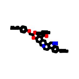 COC(=O)C1C2CC3C4=C(CCN3CC2CC(OC(=O)COc2ccc(OC)cc2)C1OC)c1ccc(OC)cc1NC4